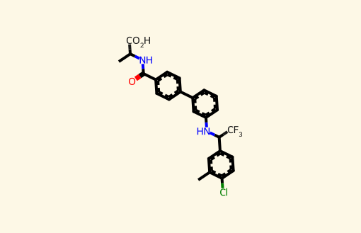 Cc1cc(C(Nc2cccc(-c3ccc(C(=O)NC(C)C(=O)O)cc3)c2)C(F)(F)F)ccc1Cl